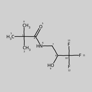 CC(C)(C)C(=O)NCC(O)C(F)(F)F